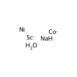 O.[Co].[NaH].[Ni].[Sc]